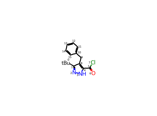 CC(C)(C)c1n[nH]c(C(=O)Cl)c1Cc1ccccc1